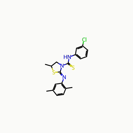 Cc1ccc(C)c(N=C2SC(C)CN2C(=S)Nc2cccc(Cl)c2)c1